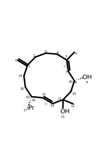 C=C1CCC/C(C)=C/[C@H](O)CC(C)(O)/C=C/[C@H](C(C)C)CC1